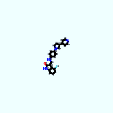 O=C1Nc2cccc(F)c2C1=CNc1ccc(N2CCC(c3ccncc3)C2)cc1